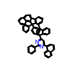 c1ccc(-c2nc(-c3cccc4ccccc34)cc(-c3ccc(-c4cccc5c4C(c4ccccc4)(c4ccccc4)c4c-5ccc5ccccc45)c4ccccc34)n2)cc1